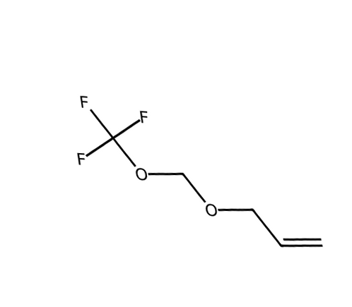 C=CCOCOC(F)(F)F